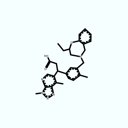 CCC1CN(Cc2cc(C(CC(=O)O)c3cnc4c(nnn4C)c3C)ccc2C)Cc2ccccc2O1